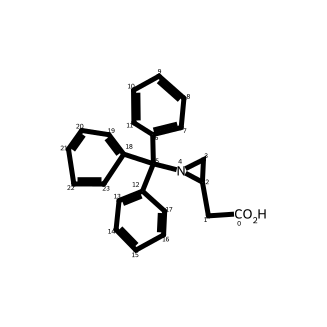 O=C(O)CC1CN1C(c1ccccc1)(c1ccccc1)c1ccccc1